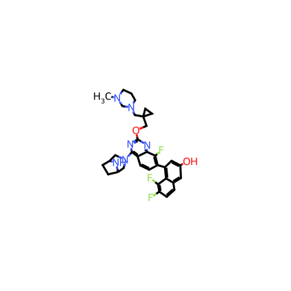 CN1CCCN(CC2(COc3nc(N4CC5CCC(C4)N5)c4ccc(-c5cc(O)cc6ccc(F)c(F)c56)c(F)c4n3)CC2)C1